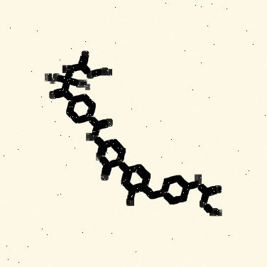 CC(C)(C)OC(=O)NC1CCN(Cc2ccc(-n3ccc(NC(=O)N4CCN(C(=O)C(C)(C)NC(=O)OC(C)(C)C)CC4)nc3=O)cc2Cl)CC1